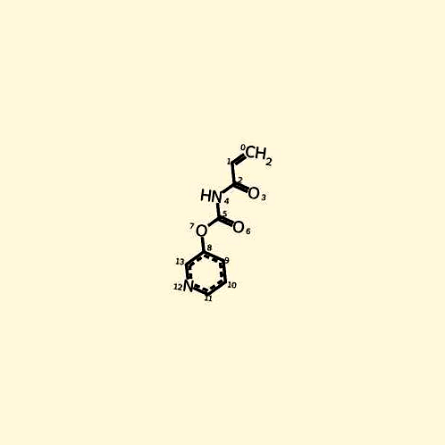 C=CC(=O)NC(=O)Oc1cccnc1